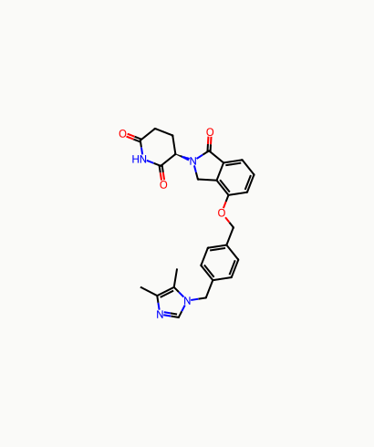 Cc1ncn(Cc2ccc(COc3cccc4c3CN([C@@H]3CCC(=O)NC3=O)C4=O)cc2)c1C